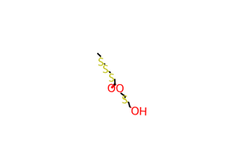 CCSCSCSCC(=O)OCCSCCO